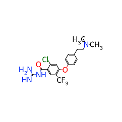 CN(C)CCc1ccc(Oc2cc(Cl)c(C(=O)NC(=N)N)cc2C(F)(F)F)cc1